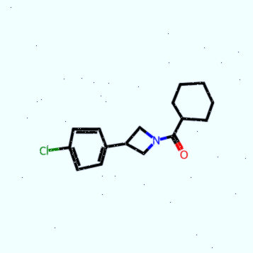 O=C(C1CCCCC1)N1CC(c2ccc(Cl)cc2)C1